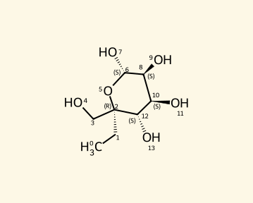 CC[C@]1(CO)O[C@H](O)[C@@H](O)[C@@H](O)[C@@H]1O